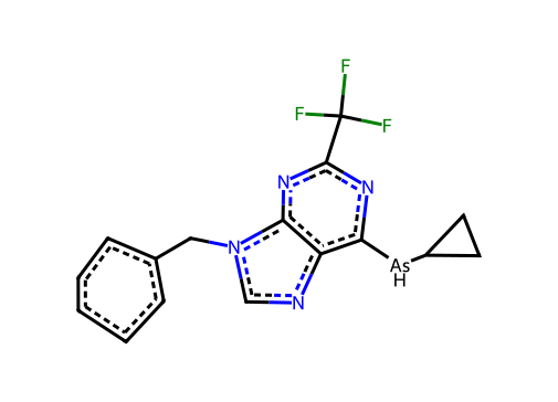 FC(F)(F)c1nc([AsH]C2CC2)c2ncn(Cc3ccccc3)c2n1